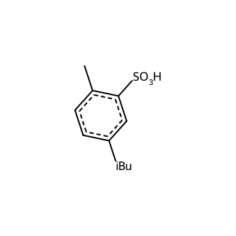 CCC(C)c1ccc(C)c(S(=O)(=O)O)c1